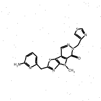 Cn1c2nc(Cc3cccc(N)n3)sc2c2cnn(Cc3cscn3)c(=O)c21